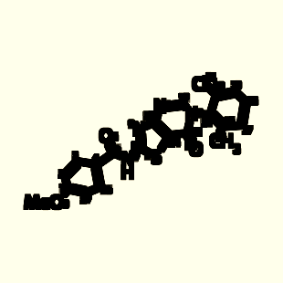 COc1ccc(C(=O)Nc2nc3ncn(-c4c(C)cccc4Cl)c(=O)c3s2)cc1